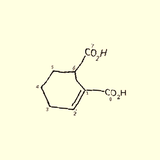 O=C(O)C1=[C]CCCC1C(=O)O